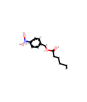 CCCCCC(=O)OCc1ccc([N+](=O)[O-])cc1